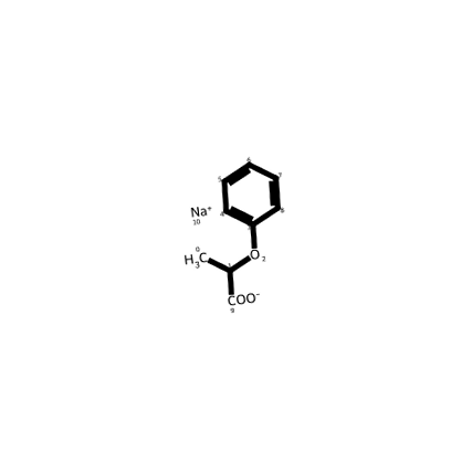 CC(Oc1ccccc1)C(=O)[O-].[Na+]